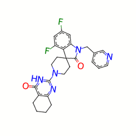 O=C1N(Cc2cccnc2)c2cc(F)cc(F)c2C12CCN(c1nc3c(c(=O)[nH]1)CCCC3)CC2